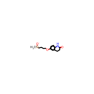 C[S+]([O-])CCCCOc1ccc2c(c1)CCC(=O)N2